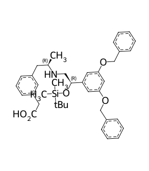 C[C@H](Cc1cccc(CC(=O)O)c1)NC[C@H](O[Si](C)(C)C(C)(C)C)c1cc(OCc2ccccc2)cc(OCc2ccccc2)c1